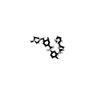 Cc1cc(C(=O)Nc2ccc(C)c(Nc3nc(-c4cccnc4)cs3)c2)ccc1CN1CCN(C)CC1